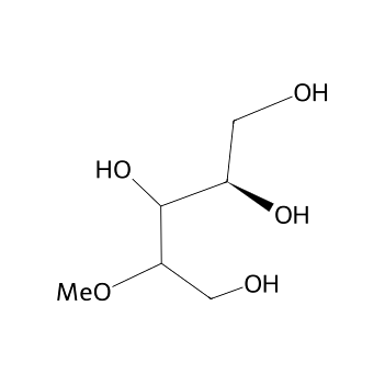 COC(CO)C(O)[C@H](O)CO